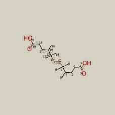 CC(CCC(=O)O)C(C)(C)SSC(C)(C)C(C)CCC(=O)O